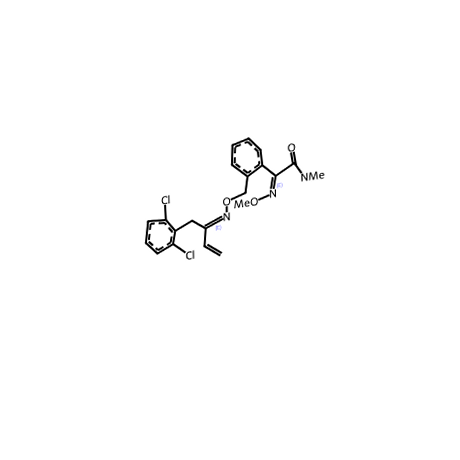 C=C/C(Cc1c(Cl)cccc1Cl)=N/OCc1ccccc1/C(=N\OC)C(=O)NC